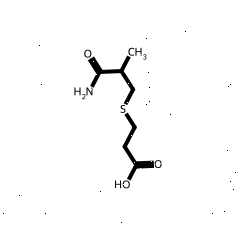 CC(CSCCC(=O)O)C(N)=O